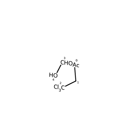 CC(=O)CC(Cl)(Cl)Cl.O=CO